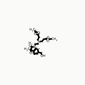 CC1OC(CCN(CCC2OC(C)O2)CCN2C3=C(C=CC(CO)C3)C(C)(C)C2C)O1